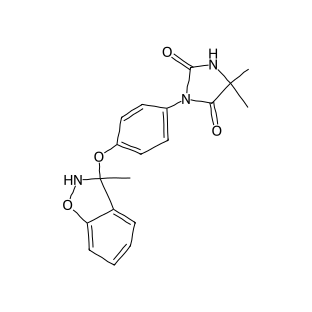 CC1(C)NC(=O)N(c2ccc(OC3(C)NOc4ccccc43)cc2)C1=O